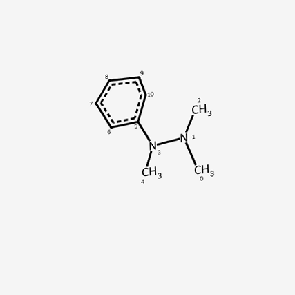 CN(C)N(C)c1ccccc1